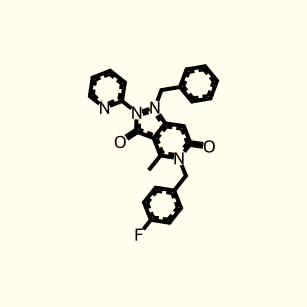 Cc1c2c(=O)n(-c3ccccn3)n(Cc3ccccc3)c2cc(=O)n1Cc1ccc(F)cc1